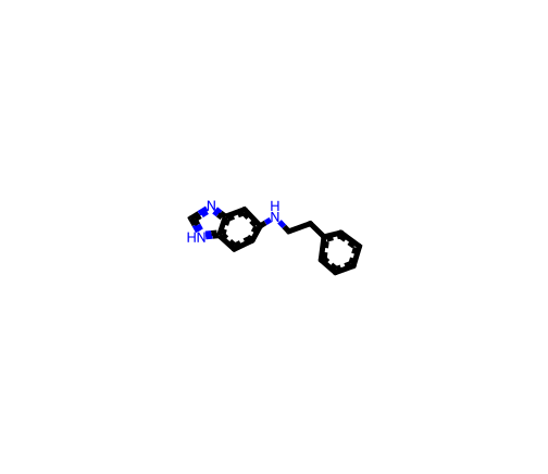 c1ccc(CCNc2ccc3[nH]cnc3c2)cc1